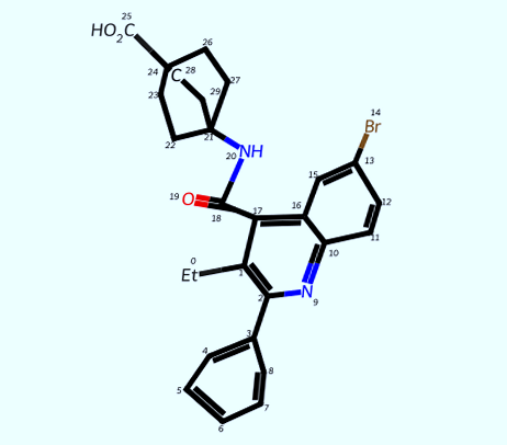 CCc1c(-c2ccccc2)nc2ccc(Br)cc2c1C(=O)NC12CCC(C(=O)O)(CC1)CC2